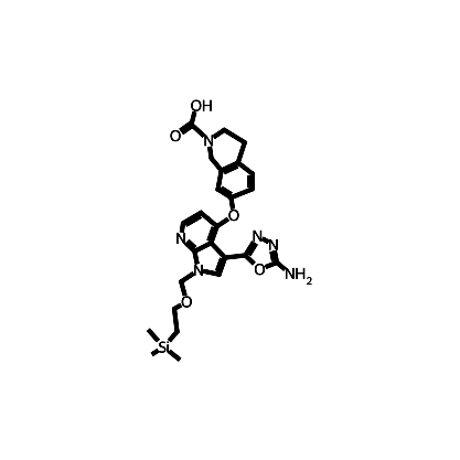 C[Si](C)(C)CCOCn1cc(-c2nnc(N)o2)c2c(Oc3ccc4c(c3)CN(C(=O)O)CC4)ccnc21